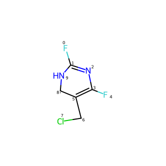 FC1=NC(F)=C(CCl)[CH]N1